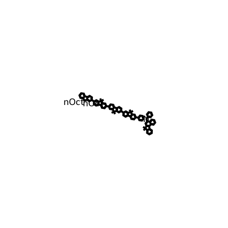 CCCCCCCCC1(CCCCCCCC)c2ccccc2-c2ccc(-c3ccc4c(c3)C(C)(C)c3cc(-c5ccc6c(c5)C(C)(C)c5cc(-c7ccc8c(c7)C(C)(C)c7cc(-c9ccc(N(c%10ccccc%10)c%10cc%11c(c%12ccccc%10%12)-c%10ccccc%10C%11(C)C)cc9)ccc7-8)ccc5-6)ccc3-4)cc21